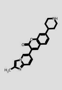 Cc1cn2cc(-c3cc4ccc(C5CCNCC5)cc4oc3=O)ccc2n1